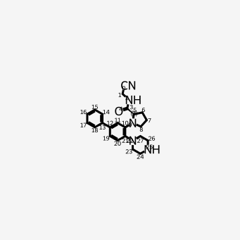 N#CCNC(=O)[C@H]1CCCN1c1cc(-c2ccccc2)ccc1N1CCNCC1